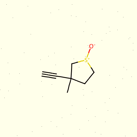 C#CC1(C)CC[S+]([O-])C1